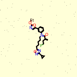 C=C(CCF)C(=O)N(CCCCCc1nc(C2CC2)no1)c1cccc(-c2cnc(OCC)o2)c1